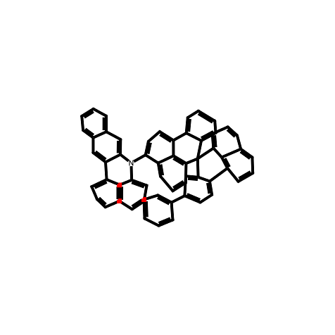 c1ccc(-c2ccc3c(c2)C2(c4ccccc4-c4ccc(N(c5ccccc5)c5cc6ccccc6cc5-c5ccccc5)c5cccc2c45)c2cccc4cccc-3c24)cc1